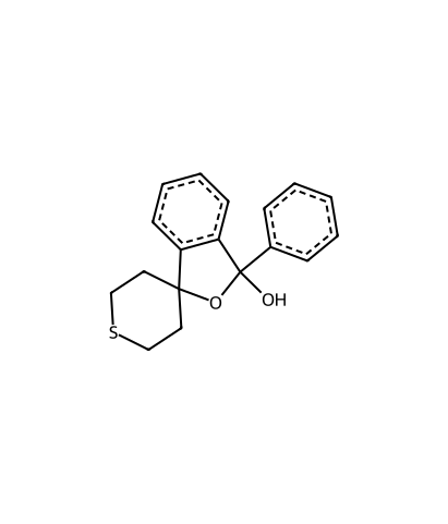 OC1(c2ccccc2)OC2(CCSCC2)c2ccccc21